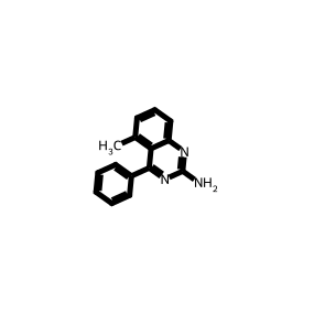 Cc1cccc2nc(N)nc(-c3ccccc3)c12